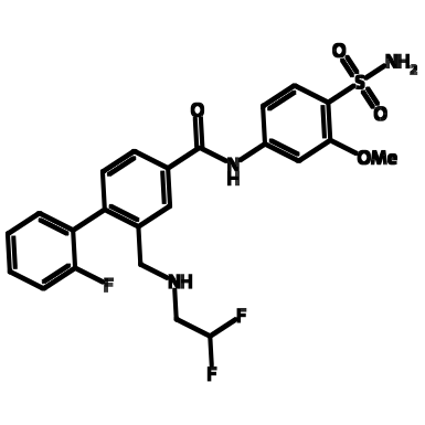 COc1cc(NC(=O)c2ccc(-c3ccccc3F)c(CNCC(F)F)c2)ccc1S(N)(=O)=O